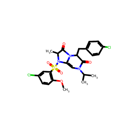 COc1ccc(Cl)cc1S(=O)(=O)N1C2=CN(C(C)C)C(=O)C(Cc3ccc(Cl)cc3)N2C(=O)C1C